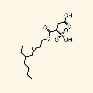 CCCCC(CC)COCCOC(=O)C(CC(=O)O)S(=O)(=O)O